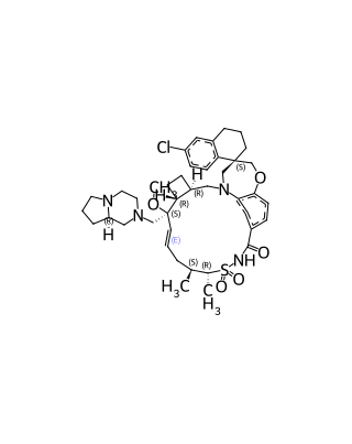 CO[C@]1(CN2CCN3CCC[C@@H]3C2)/C=C/C[C@H](C)[C@@H](C)S(=O)(=O)NC(=O)c2ccc3c(c2)N(C[C@@H]2CC[C@H]21)C[C@@]1(CCCc2cc(Cl)ccc21)CO3